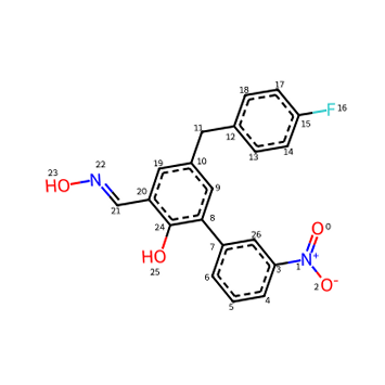 O=[N+]([O-])c1cccc(-c2cc(Cc3ccc(F)cc3)cc(C=NO)c2O)c1